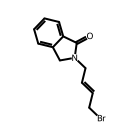 O=C1c2ccccc2CN1C/C=C/CBr